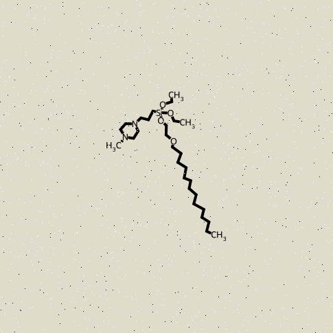 CCCCCCCCCCCCCCOCCO[Si](CCCN1CCN(C)CC1)(OCC)OCC